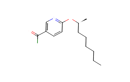 CCCCCC[C@H](C)Oc1ccc(C(=O)Cl)cn1